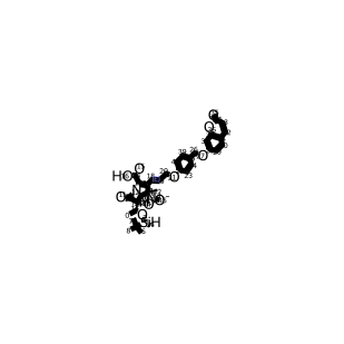 CC(O[SiH](C)C(C)(C)C)[C@H]1C(=O)N2C(C(=O)O)=C(/C=C/COc3ccc(COc4ccc5ccc(=O)oc5c4)cc3)[C@](C)([N+](=O)[O-])[C@@H]12